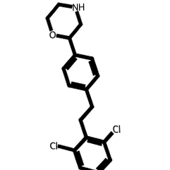 Clc1cccc(Cl)c1CCc1ccc(C2CNCCO2)cc1